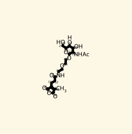 CC(=O)NC1C(OCCOCCNC(=O)CCC2=C(C)C(=O)OC2=O)OC(CO)C(O)C1O